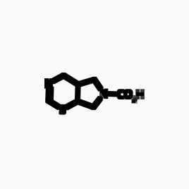 O=C(O)N1CC2CN=CSC2C1